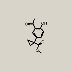 COC(=O)C1(c2ccc(O)c(C(C)=O)c2)CC1